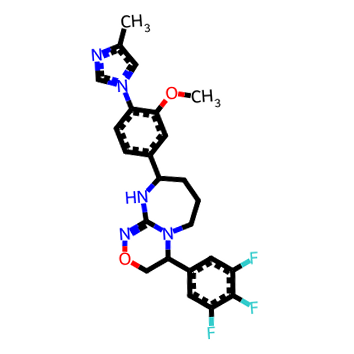 COc1cc(C2CCCN3C(=NOCC3c3cc(F)c(F)c(F)c3)N2)ccc1-n1cnc(C)c1